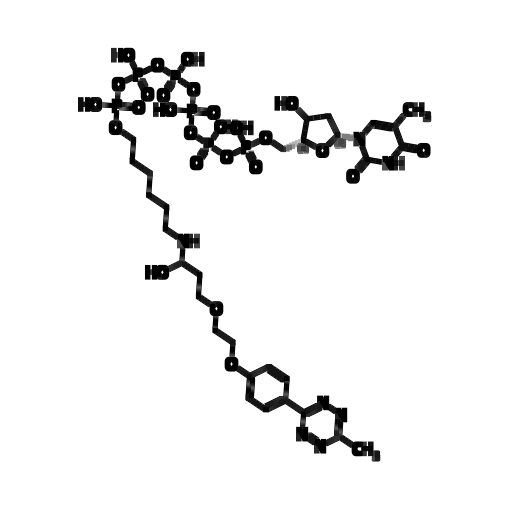 Cc1nnc(-c2ccc(OCCOCCC(O)NCCCCCCOP(=O)(O)OP(=O)(O)OP(=O)(O)OP(=O)(O)OP(=O)(O)OP(=O)(O)OC[C@H]3O[C@@H](n4cc(C)c(=O)[nH]c4=O)CC3O)cc2)nn1